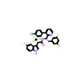 O=C(N[C@@H](Cc1cc(F)cc(F)c1)c1ncccc1-c1ccc(Cl)cc1)[C@H](c1c[nH]c2ccc(F)cc12)C(F)(F)F